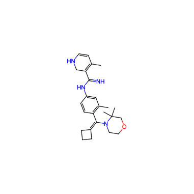 CC1=C(C(=N)Nc2ccc(C(=C3CCC3)N3CCOCC3(C)C)c(C)c2)CNC=C1